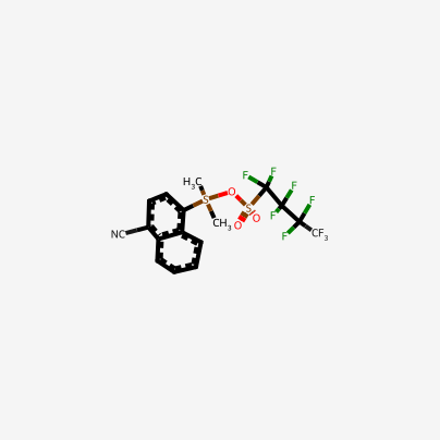 CS(C)(OS(=O)(=O)C(F)(F)C(F)(F)C(F)(F)C(F)(F)F)c1ccc(C#N)c2ccccc12